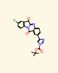 CC(C)(C)OC(=O)n1cnc(-c2ccc3nc4n(c(=O)c3c2)-c2ccc(F)cc2C4=O)c1